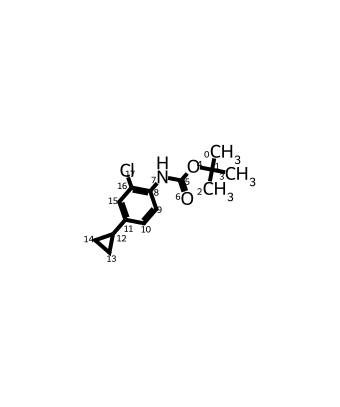 CC(C)(C)OC(=O)Nc1ccc(C2CC2)cc1Cl